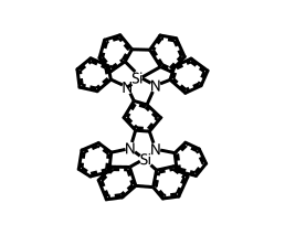 c1ccc(N2c3cc4c(cc3N(c3ccccc3)[Si]23c2ccccc2-c2ccccc23)N(c2ccccc2)[Si]2(c3ccccc3-c3ccccc32)N4c2ccccc2)cc1